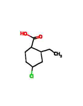 CCC1CC(Cl)CCC1C(=O)O